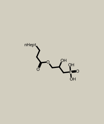 CCCCCCCCCC(=O)OCC(O)CP(=O)(O)O